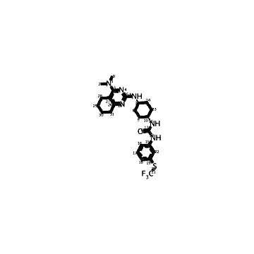 CN(C)c1nc(N[C@H]2CC[C@@H](NC(=O)Nc3cccc(SC(F)(F)F)c3)CC2)nc2c1CCCC2